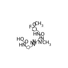 COc1cc(CNC(=O)c2cc(-c3cn(CC4CCC(NC(=O)CO)C4)nn3)nc(C)n2)ccc1F